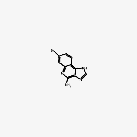 Nc1nc2cc(Br)ccc2c2[nH]cnc12